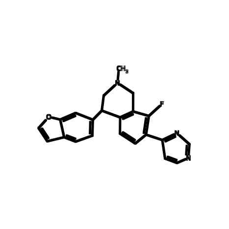 CN1Cc2c(ccc(-c3ccncn3)c2F)C(c2ccc3ccoc3c2)C1